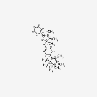 CC1=C(C)C(C)(CC2=CC=C(N3C(C)=C(C)C(C)(C)C3(C)C)CC2)CN1c1ccccc1